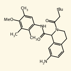 COc1c(C)cc(NC(=O)C2c3cc(N)ccc3CCN2C(=O)CC(C)(C)C)c(C)c1C